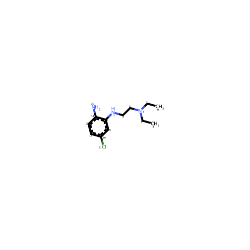 CCN(CC)CCNc1cc(Cl)ccc1N